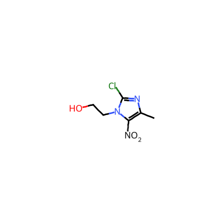 Cc1nc(Cl)n(CCO)c1[N+](=O)[O-]